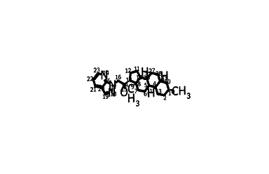 C[C@H]1CC[C@@H]2C3CC[C@@]4(C)C(CC[C@@H]4C(=O)Cn4ncc5cccnc54)[C@@H]3CC[C@@H]2C1